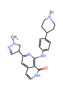 CC(=O)N1CCC(c2ccc(Nc3nc(C4C=NN(C)C4)cc4cc[nH]c(=O)c34)cc2)CC1